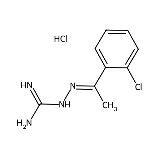 C/C(=N\NC(=N)N)c1ccccc1Cl.Cl